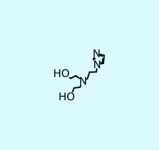 OCCN(CCO)CCCn1ccnc1